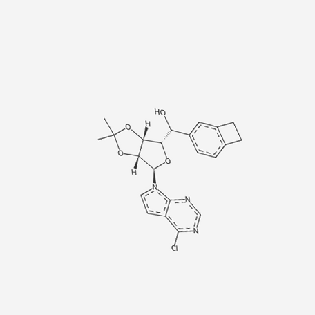 CC1(C)O[C@@H]2[C@H](O1)[C@H](C(O)c1ccc3c(c1)CC3)O[C@H]2n1ccc2c(Cl)ncnc21